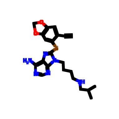 C#Cc1cc2c(cc1Sc1nc3c(N)ncnc3n1CCCCNCC(C)C)OCO2